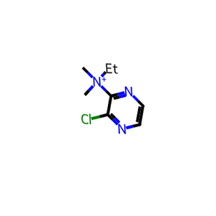 CC[N+](C)(C)c1nccnc1Cl